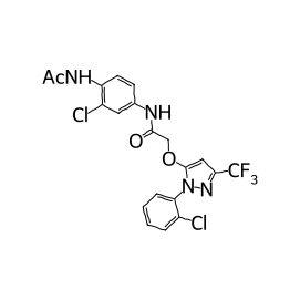 CC(=O)Nc1ccc(NC(=O)COc2cc(C(F)(F)F)nn2-c2ccccc2Cl)cc1Cl